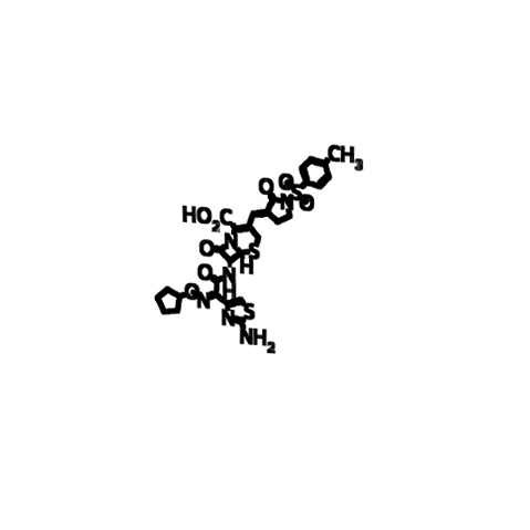 Cc1ccc(S(=O)(=O)N2CC/C(=C\C3=C(C(=O)O)N4C(=O)[C@@H](NC(=O)/C(=N\OC5CCCC5)c5csc(N)n5)[C@H]4SC3)C2=O)cc1